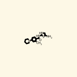 Cc1cc(N2CCCCC2)ccc1C(=O)NC1NC=C(N)S1